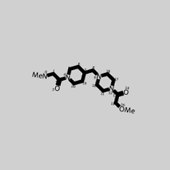 CNCC(=O)N1CCC(CN2CCN(C(=O)COC)CC2)CC1